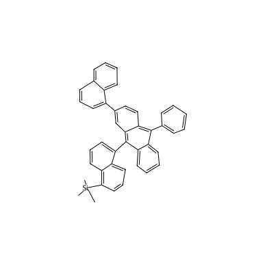 C[Si](C)(C)c1cccc2c(-c3c4ccccc4c(-c4ccccc4)c4ccc(-c5cccc6ccccc56)cc34)cccc12